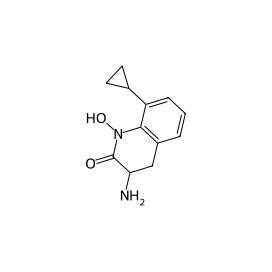 NC1Cc2cccc(C3CC3)c2N(O)C1=O